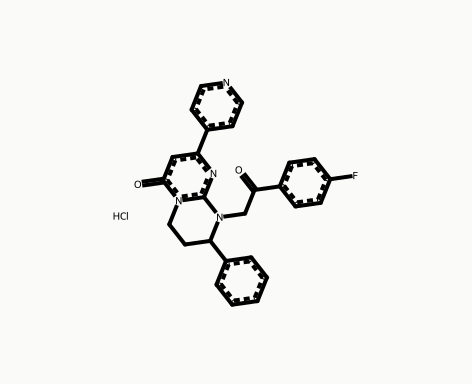 Cl.O=C(CN1c2nc(-c3ccncc3)cc(=O)n2CCC1c1ccccc1)c1ccc(F)cc1